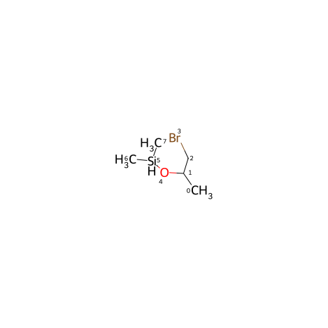 CC(CBr)O[SiH](C)C